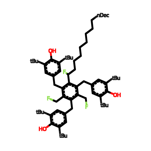 CCCCCCCCCCCCCCCCCCC(F)c1c(Cc2cc(C(C)(C)C)c(O)c(C(C)(C)C)c2)c(CF)c(Cc2cc(C(C)(C)C)c(O)c(C(C)(C)C)c2)c(CF)c1Cc1cc(C(C)(C)C)c(O)c(C(C)(C)C)c1